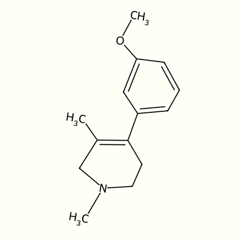 COc1cccc(C2=C(C)CN(C)CC2)c1